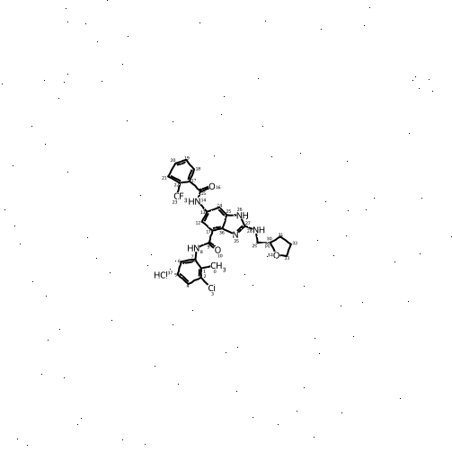 Cc1c(Cl)cccc1NC(=O)c1cc(NC(=O)c2ccccc2C(F)(F)F)cc2[nH]c(NC[C@H]3CCCO3)nc12.Cl